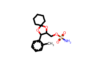 Cc1ccccc1C1OC2(CCCCC2)OC1COS(N)(=O)=O